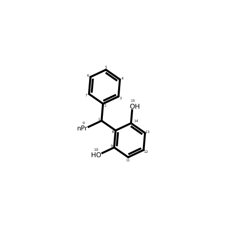 CCCC(c1ccccc1)c1c(O)cccc1O